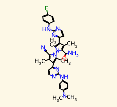 Cc1c(-c2ccnc(Nc3ccc(N(C)C)cc3)n2)c(C)n(-n2c(C)c(-c3ccnc(Nc4ccc(F)cc4)n3)c(C)c2C(N)=O)c1C#N